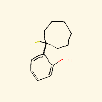 Oc1ccccc1C1(S)CCCCCC1